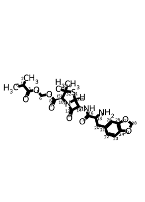 CC(C)C(=O)OCOC(=O)[C@@H]1N2C(=O)[C@@H](NC(=O)C(N)Cc3ccc4c(c3)OCO4)[C@H]2SC1(C)C